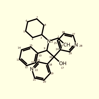 CCN(C1CCCCC1)C(c1ccccc1)C(O)(c1cccnc1)c1cccnc1